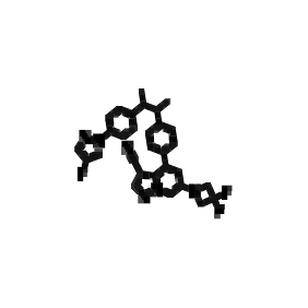 CC(c1ccc(-c2cc(N3CC(F)(F)C3)cn3ncc(C#N)c23)cc1)C(C)c1ccc(-n2cc(F)cn2)cc1